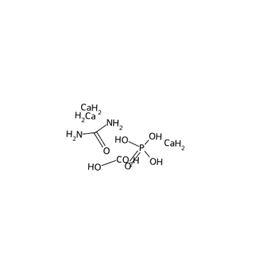 NC(N)=O.O=C(O)O.O=P(O)(O)O.[CaH2].[CaH2].[CaH2]